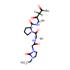 CCCCC(=O)C(F)(F)C(=O)[C@@H](NC(=O)[C@@H]1CCCN1C(=O)[C@@H](NC(=O)CN1CCN(CC(=O)O)C1=O)C(C)C)C(C)C